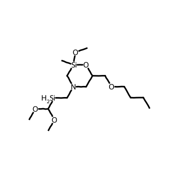 CCCCOCC1CN(C[SiH2]C(OC)OC)C[Si](C)(OC)O1